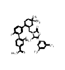 COC(=O)c1ccc(-c2cc(C3=C(CN4C(=O)O[C@H](c5cc(C(F)(F)F)cc(C(F)(F)F)c5)C4C)CC(C)(C)CC3)ccc2F)c(C)c1